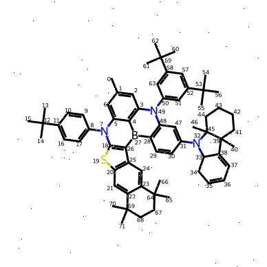 Cc1cc2c3c(c1)N(c1ccc(C(C)(C)C)cc1)c1sc4cc5c(cc4c1B3c1ccc(N3C4CC=CC=C4C4(C)CCCCC34C)cc1N2c1cc(C(C)(C)C)cc(C(C)(C)C)c1)C(C)(C)CCC5(C)C